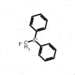 C[S+](c1ccccc1)c1ccccc1.[F-]